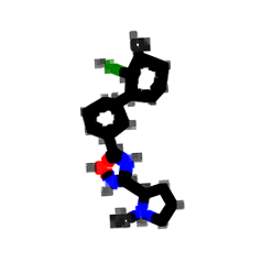 N#Cc1cccc(-c2cccc(-c3nc(C4CCCN4C#N)no3)c2)c1F